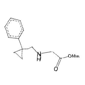 COC(=O)CNCC1(c2ccccc2)CC1